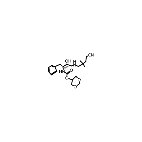 CC(C)(CCC#N)CNC[C@@H](O)[C@H](Cc1ccccc1)NC(=O)OC1COCOC1